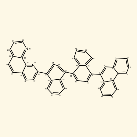 c1ccc2c(c1)cc(-c1ccc(-c3ccc(-c4ccc5ccc6cccnc6c5n4)c4ccccc34)c3ccccc13)c1ccccc12